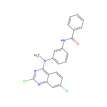 CN(c1cccc(NC(=O)c2ccccc2)c1)c1nc(Cl)nc2cc(Cl)ccc12